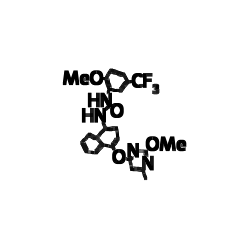 COc1nc(C)cc(Oc2ccc(NC(=O)Nc3cc(C(F)(F)F)ccc3OC)c3ccccc23)n1